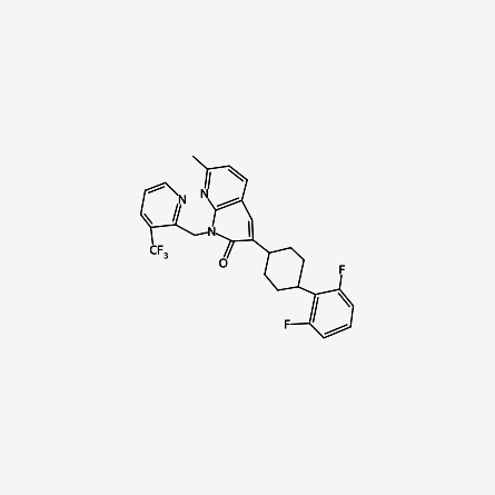 Cc1ccc2cc(C3CCC(c4c(F)cccc4F)CC3)c(=O)n(Cc3ncccc3C(F)(F)F)c2n1